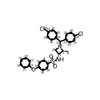 C[C@H]1[C@H](NS(=O)(=O)c2ccc(Oc3ccccc3)cc2)CN1C(c1ccc(Cl)cc1)c1ccc(Cl)cc1